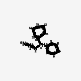 [N-]=[N+]=N[PH2](c1ccccc1)c1ccccc1